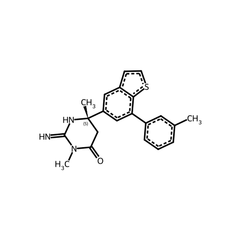 Cc1cccc(-c2cc([C@]3(C)CC(=O)N(C)C(=N)N3)cc3ccsc23)c1